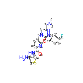 CN(C)CCCN(Cc1ccc(C(=O)Nc2cscc2N)nc1)C(=O)Nc1cccc(F)c1